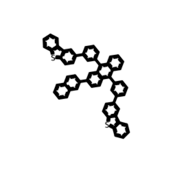 c1cc(-c2ccc3sc4ccccc4c3c2)cc(-c2c3ccccc3c(-c3cccc(-c4ccc5sc6ccccc6c5c4)c3)c3cc(-c4ccc5ccccc5c4)ccc23)c1